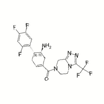 N[C@H]1CC(C(=O)N2CCn3c(nnc3C(F)(F)F)C2)=CC[C@@H]1c1cc(F)c(F)cc1F